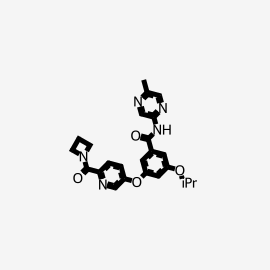 Cc1cnc(NC(=O)c2cc(Oc3ccc(C(=O)N4CCC4)nc3)cc(OC(C)C)c2)cn1